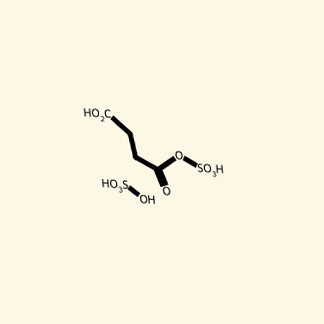 O=C(O)CCC(=O)OS(=O)(=O)O.O=S(=O)(O)O